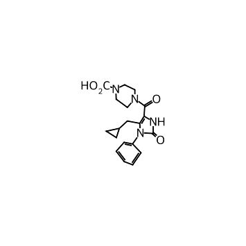 O=C(O)N1CCN(C(=O)c2[nH]c(=O)n(-c3ccccc3)c2CC2CC2)CC1